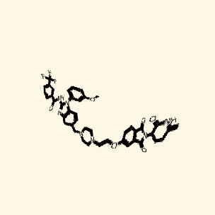 C=C1CCC(N2C(=O)c3ccc(OCCN4CCN(Cc5ccc6c(c5)nc(NC(=O)c5cccc(C(F)(F)F)c5)n6-c5cccc(OC)c5)CC4)cc3C2=O)C(=O)N1